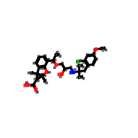 COc1ccc(CC(C)(C)NCC(O)CO[C@H](C)c2cccc3c2O[C@@H]2[C@@H](C(=O)O)[C@H]32)c(Cl)c1